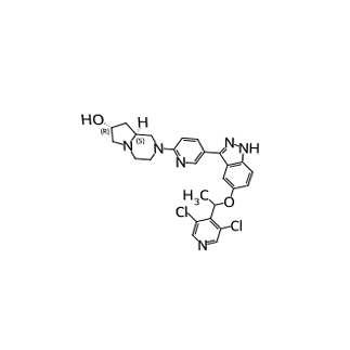 CC(Oc1ccc2[nH]nc(-c3ccc(N4CCN5C[C@H](O)C[C@H]5C4)nc3)c2c1)c1c(Cl)cncc1Cl